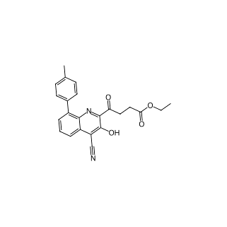 CCOC(=O)CCC(=O)c1nc2c(-c3ccc(C)cc3)cccc2c(C#N)c1O